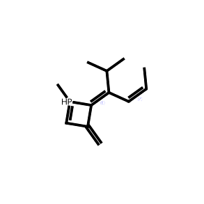 C=C1C=[PH](C)/C1=C(/C=C\C)C(C)C